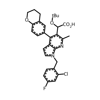 Cc1nc2c(ccn2Cc2ccc(F)cc2Cl)c(-c2ccc3c(c2)CCCO3)c1C(OC(C)(C)C)C(=O)O